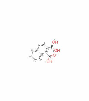 O=C(O)c1c(B(O)O)ccc2ccccc12